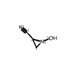 N#CC1CN1O